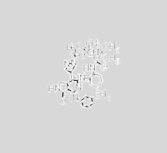 Cc1cccc(Nc2nc(N[C@@H]3CCCC[C@@H]3NC(=O)OC(C)(C)C)c(-c3cnn(C(=O)OC(C)(C)C)c3)c3c2C(=O)NC3)c1